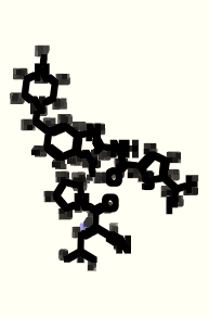 CC(C)/C=C(\C#N)C(=O)N1CCC[C@@H]1Cn1c(NC(=O)c2ccc(C(F)F)s2)nc2cc(CN3CCN(C)CC3)ccc21